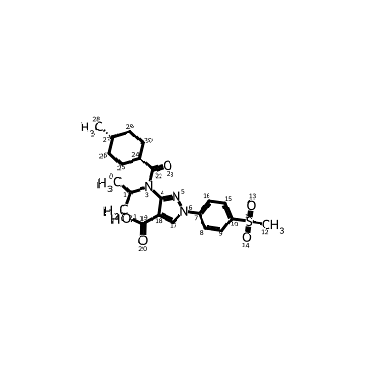 CC(C)N(c1nn(-c2ccc(S(C)(=O)=O)cc2)cc1C(=O)O)C(=O)[C@H]1CC[C@H](C)CC1